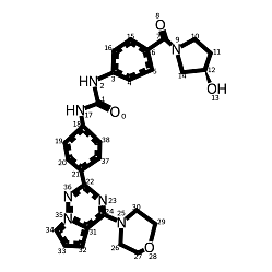 O=C(Nc1ccc(C(=O)N2CC[C@@H](O)C2)cc1)Nc1ccc(-c2nc(N3CCOCC3)c3cccn3n2)cc1